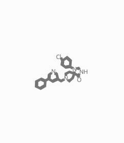 O=C1NCN(c2ccc(Cl)cc2)C12CCN(Cc1cncc(-c3ccccc3)c1)CC2